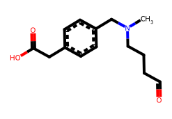 CN(CCCC=O)Cc1ccc(CC(=O)O)cc1